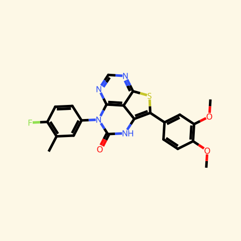 COc1ccc(-c2sc3ncnc4c3c2NC(=O)N4c2ccc(F)c(C)c2)cc1OC